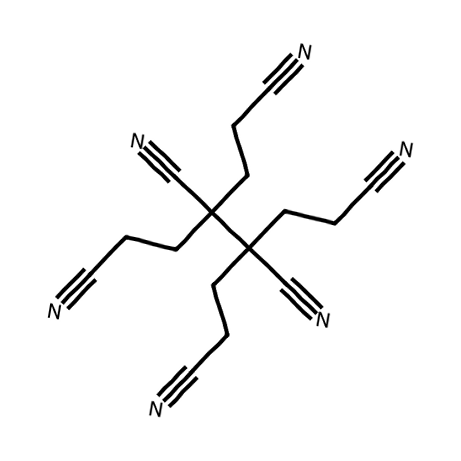 N#CCCC(C#N)(CCC#N)C(C#N)(CCC#N)CCC#N